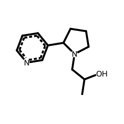 CC(O)CN1CCCC1c1cccnc1